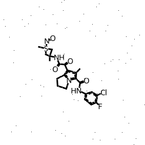 Cc1c(C(=O)C(=O)NC2(C)CS(C)(N=O)C2)c2n(c1C(=O)Nc1ccc(F)c(Cl)c1)CCC2